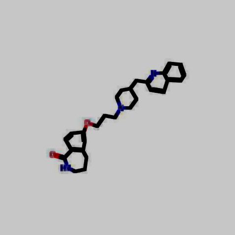 O=C1NCCCc2cc(OCCCN3CCC(Cc4ccc5ccccc5n4)CC3)ccc21